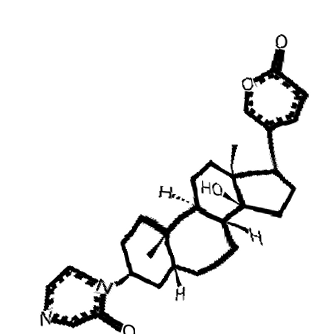 C[C@]12CC[C@H](n3ccncc3=O)C[C@H]1CC[C@@H]1[C@@H]2CC[C@]2(C)[C@@H](c3ccc(=O)oc3)CC[C@]12O